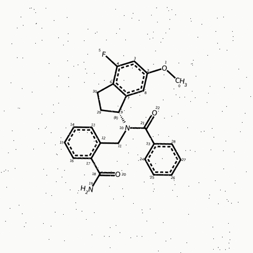 COc1cc(F)c2c(c1)[C@H](N(Cc1ccccc1C(N)=O)C(=O)c1ccccc1)CC2